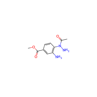 COC(=O)c1ccc(N(N)C(C)=O)c(N)c1